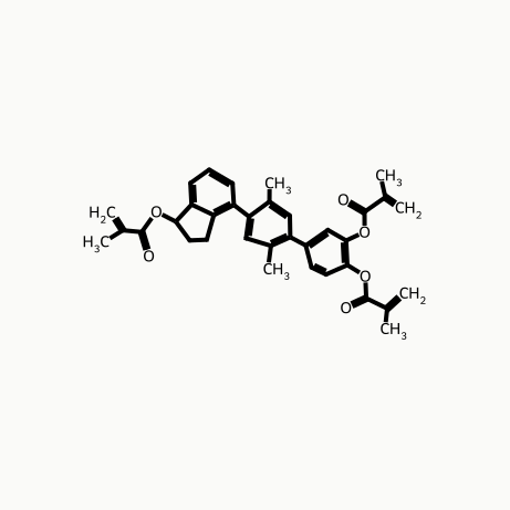 C=C(C)C(=O)Oc1ccc(-c2cc(C)c(-c3cccc4c3CCC4OC(=O)C(=C)C)cc2C)cc1OC(=O)C(=C)C